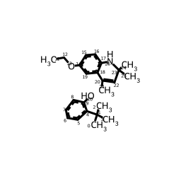 CC(C)(C)c1ccccc1O.CCOc1ccc2c(c1)C(C)=CC(C)(C)N2